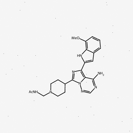 COc1cccc2cc(-c3nc(C4CCN(CNC(C)=O)CC4)n4ncnc(N)c34)[nH]c12